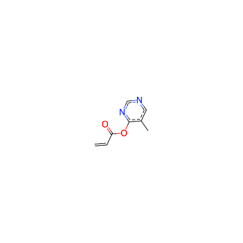 C=CC(=O)Oc1ncncc1C